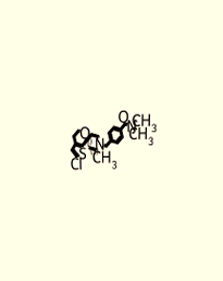 C[C@H]1C[C@@]2(CCN1Cc1ccc(C(=O)N(C)C)cc1)OCCc1cc(Cl)sc12